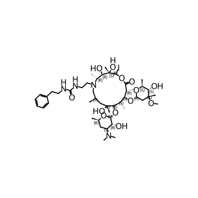 CO[C@]1(C)C[C@H](O[C@H]2[C@H](C)[C@@H](O[C@@H]3O[C@H](C)C[C@H](N(C)C)[C@H]3O)[C@](C)(O)C[C@@H](C)CN(CCNC(=O)NCCc3ccccc3)[C@H](C)[C@@H](O)[C@](C)(O)[C@@H](I)OC(=O)[C@@H]2C)O[C@@H](C)[C@@H]1O